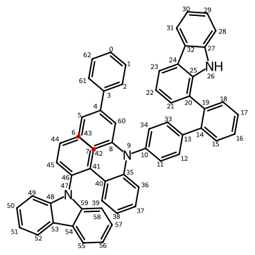 c1ccc(-c2cccc(N(c3ccc(-c4ccccc4-c4cccc5c4[nH]c4ccccc45)cc3)c3ccccc3-c3ccccc3-n3c4ccccc4c4ccccc43)c2)cc1